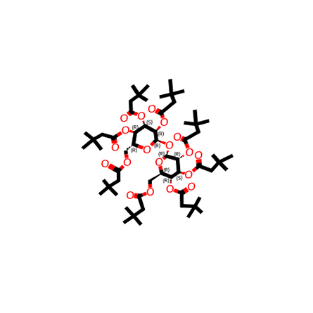 CC(C)(C)CC(=O)OC[C@H]1O[C@H](O[C@H]2O[C@H](COC(=O)CC(C)(C)C)[C@@H](OC(=O)CC(C)(C)C)[C@H](OC(=O)CC(C)(C)C)[C@H]2OC(=O)CC(C)(C)C)[C@H](OC(=O)CC(C)(C)C)[C@@H](OC(=O)CC(C)(C)C)[C@@H]1OC(=O)CC(C)(C)C